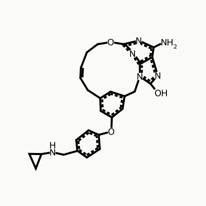 Nc1nc2nc3c1nc(O)n3Cc1cc(cc(Oc3ccc(CNC4CC4)cc3)c1)C/C=C\CCO2